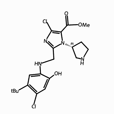 COC(=O)c1c(Cl)nc(CNc2cc(C(C)(C)C)c(Cl)cc2O)n1[C@@H]1CCNC1